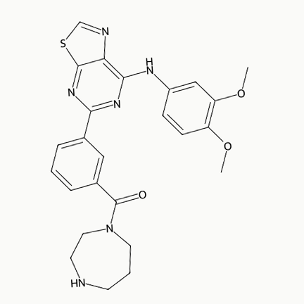 COc1ccc(Nc2nc(-c3cccc(C(=O)N4CCCNCC4)c3)nc3scnc23)cc1OC